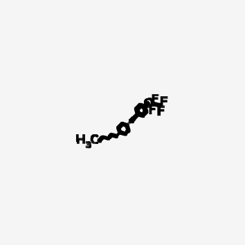 CCCCCC[C@H]1CC[C@H](C#Cc2ccc(OC(F)(F)C(F)F)cc2)CC1